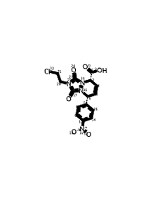 O=C(O)[C@@H]1C=C[C@H](c2ccc([N+](=O)[O-])cc2)n2c(=O)n(CCCl)c(=O)n21